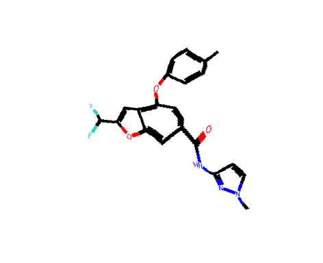 Cc1ccc(Oc2cc(C(=O)Nc3ccn(C)n3)cc3oc(C(F)F)cc23)cc1